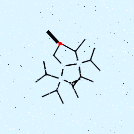 C=CCN([Si](C(C)C)(C(C)C)C(C)C)[Si](C(C)C)(C(C)C)C(C)C